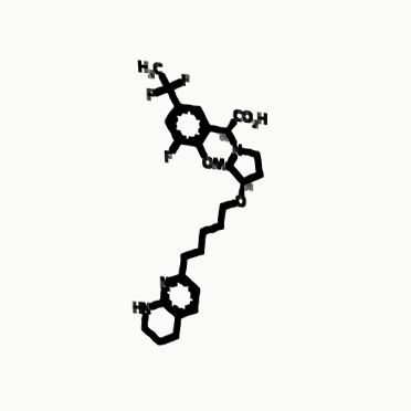 COc1c(F)cc(C(C)(F)F)cc1[C@@H](C(=O)O)N1CC[C@@H](OCCCCCc2ccc3c(n2)NCCC3)C1